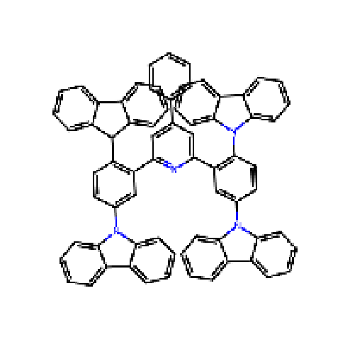 c1ccc(-c2cc(-c3cc(-n4c5ccccc5c5ccccc54)ccc3C3c4ccccc4-c4ccccc43)nc(-c3cc(-n4c5ccccc5c5ccccc54)ccc3-n3c4ccccc4c4ccccc43)c2)cc1